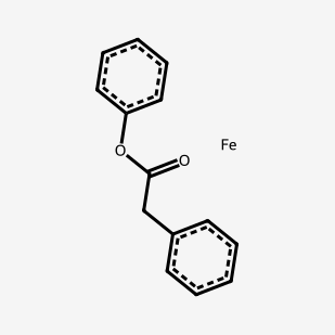 O=C(Cc1ccccc1)Oc1ccccc1.[Fe]